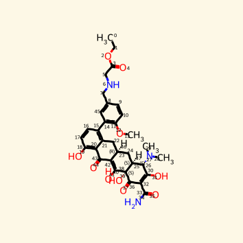 CCOC(=O)CNCc1ccc(OC)c(-c2ccc(O)c3c2C[C@H]2C[C@H]4[C@H](N(C)C)C(O)=C(C(N)=O)C(=O)[C@@]4(O)C(O)=C2C3=O)c1